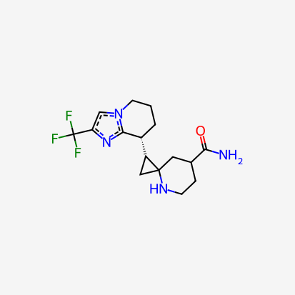 NC(=O)C1CCNC2(C1)CC2[C@H]1CCCn2cc(C(F)(F)F)nc21